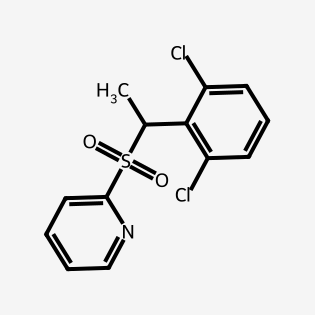 CC(c1c(Cl)cccc1Cl)S(=O)(=O)c1ccccn1